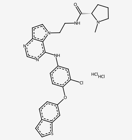 CN1CCC[C@H]1C(=O)NCCn1ccc2ncnc(Nc3ccc(Oc4ccc5ccsc5c4)c(Cl)c3)c21.Cl.Cl